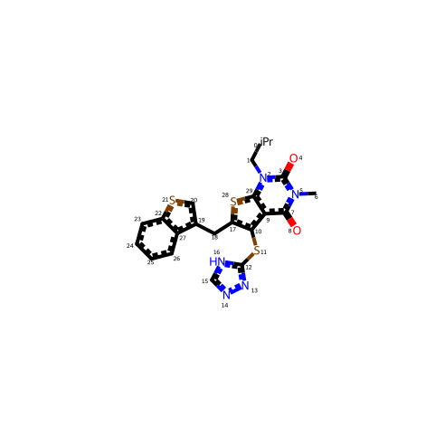 CC(C)Cn1c(=O)n(C)c(=O)c2c(Sc3nnc[nH]3)c(Cc3csc4ccccc34)sc21